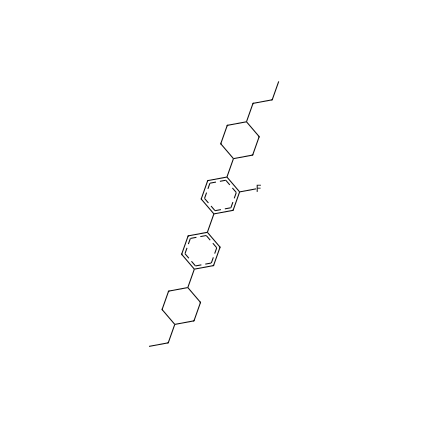 CCCC1CCC(c2ccc(-c3ccc(C4CCC(CC)CC4)cc3)cc2F)CC1